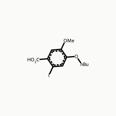 CCCCOc1cc(I)c(C(=O)O)cc1OC